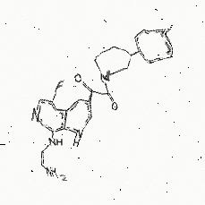 N/C=C\Nc1ncc(F)c2c(C(=O)C(=O)N3CCC(c4ccccc4)C3)c[nH]c12